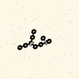 c1ccc(-c2ccc(-c3cc(-c4ccc(-c5ccccc5)cc4)nc(-c4cccc(-c5ccc(-c6nc7ccccc7n6-c6ccccc6)cc5)c4)n3)cc2)cc1